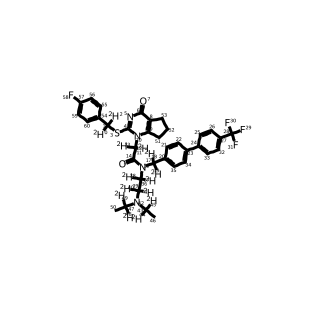 [2H]C([2H])(Sc1nc(=O)c2c(n1C([2H])([2H])C(=O)N(C([2H])([2H])c1ccc(-c3ccc(C(F)(F)F)cc3)cc1)C([2H])([2H])C([2H])([2H])N(C([2H])([2H])C)C([2H])([2H])C)CCC2)c1ccc(F)cc1